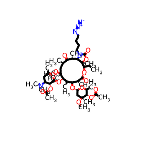 CCC1OC(=O)C(C)C(O[C@H]2C[C@@](C)(OC)[C@@H](OC(C)=O)C(C)O2)C(C)[C@@H](OC2OC(C)CC(N(C)C)[C@H]2OC(C)=O)[C@@](C)(OC)C[C@@H](C)C(=O)[C@H](C)C2N(CCCCN=[N+]=[N-])C(=O)O[C@]12C